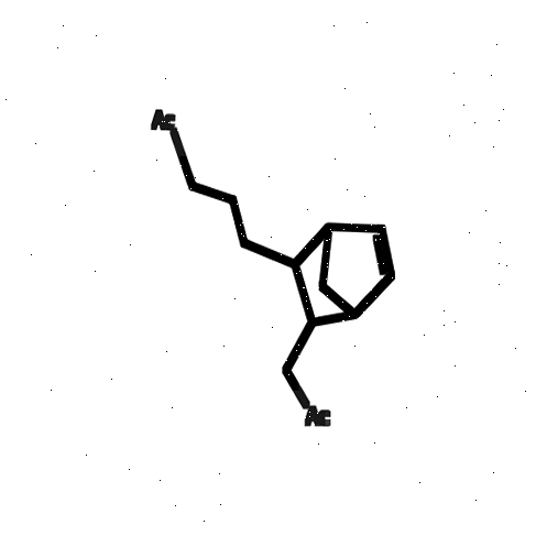 CC(=O)CCCC1C2C=CC(C2)C1CC(C)=O